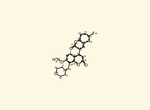 NOc1ccc2c(-c3cc4cc(F)ccc4oc3=O)cc(=O)oc2c1CN1CCOCC1